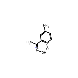 N/C(=N/O)c1cc(N)cc[n+]1[O-]